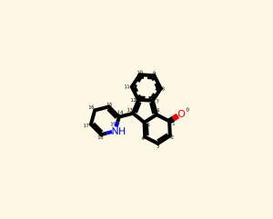 O=C1C=CC=C2C1=c1ccccc1=C2C1=CCC=CN1